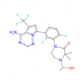 CC(O)N1CCN(c2c(F)ccc(-c3cc(C(F)(F)F)c4c(N)ncnn34)c2F)C(=O)C1(C)C